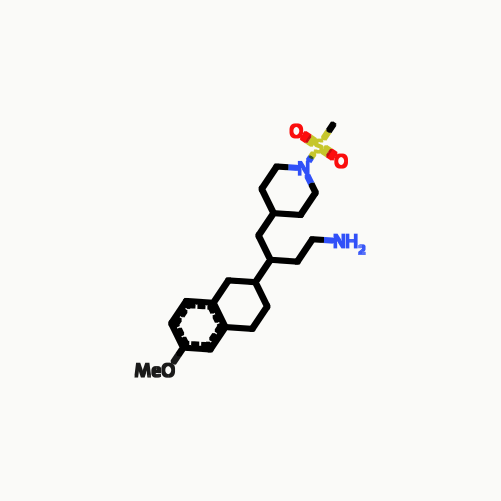 COc1ccc2c(c1)CCC(C(CCN)CC1CCN(S(C)(=O)=O)CC1)C2